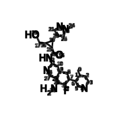 Cc1ccncc1-c1cc2cc(NC(=O)[C@H]3[C@@H](CO)[C@@H]3c3cnn(C)c3)ncc2c(N)c1F